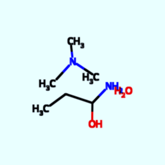 CCC(N)O.CN(C)C.O